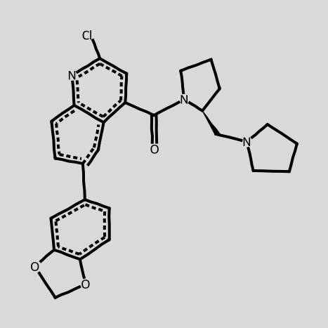 O=C(c1cc(Cl)nc2ccc(-c3ccc4c(c3)OCO4)cc12)N1CCC[C@H]1CN1CCCC1